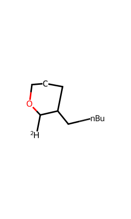 [2H]C1OCCCC1CCCCC